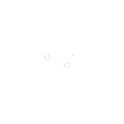 C[C@@H]1CN(c2ccc(C(F)(F)F)cc2)C[C@H](C)N1S(=O)(=O)c1cccc2c1CC(C=O)C2